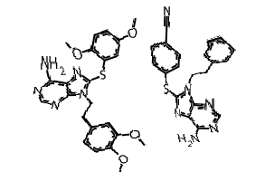 COc1ccc(OC)c(Sc2nc3c(N)ncnc3n2CCc2ccc(OC)c(OC)c2)c1.N#Cc1ccc(Sc2nc3c(N)ncnc3n2CCc2ccccc2)cc1